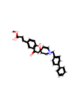 COC(=O)/C=C/c1ccc2c(c1)C(=O)CC1(CCN(Cc3ccc(-c4ccccc4)cc3)CC1)O2